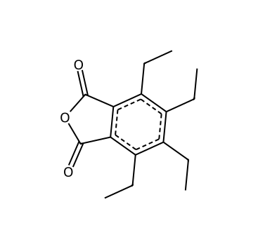 CCc1c(CC)c(CC)c2c(c1CC)C(=O)OC2=O